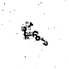 O=C(Nc1cncc(-c2ccc3[nH]nc(-c4nc5c(-c6cc(F)cc(OCCN7CCCC7)c6)nccc5[nH]4)c3n2)c1)C1CC1